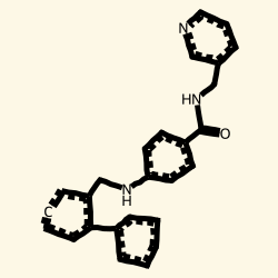 O=C(NCc1cccnc1)c1ccc(NCc2ccccc2-c2ccccc2)cc1